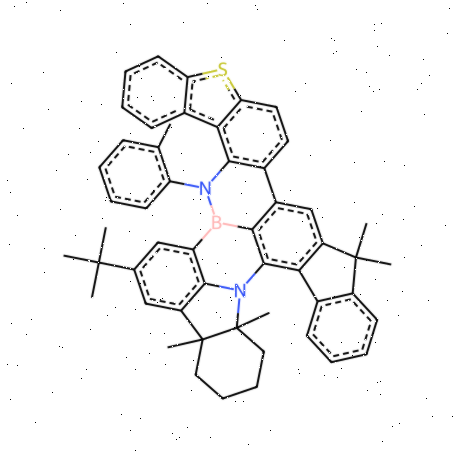 Cc1ccccc1N1B2c3cc(C(C)(C)C)cc4c3N(c3c2c(cc2c3-c3ccccc3C2(C)C)-c2ccc3sc5ccccc5c3c21)C1(C)CCCCC41C